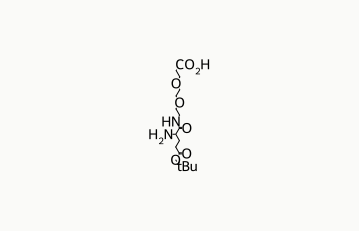 CC(C)(C)OC(=O)CCC(N)C(=O)NCCOCCOCCC(=O)O